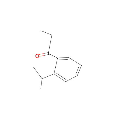 CCC(=O)c1ccccc1C(C)C